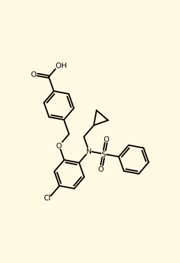 O=C(O)c1ccc(COc2cc(Cl)ccc2N(CC2CC2)S(=O)(=O)c2ccccc2)cc1